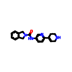 O=C(Nc1ccc(C2=CCNCC2)nc1)N1Cc2ccccc2C1